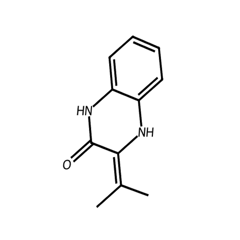 CC(C)=C1Nc2ccccc2NC1=O